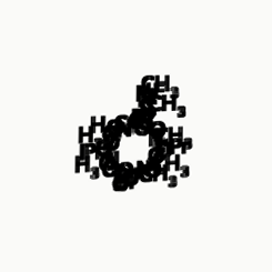 Cc1nn(Cc2ccc(C[C@H]3OC(=O)[C@H](CC(C)C)N(C)C(=O)[C@@H](C)OC(=O)[C@H](CC(C)C)N(C)C(=O)[C@@H](Cc4ccccc4)OC(=O)[C@H](CC(C)C)N(C)C(=O)[C@@H](C)OC(=O)[C@H](CC(C)C)N(C)C3=O)cc2)c(C)c1F